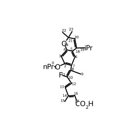 CCCOc1cc2c(cc1C(C)=C(F)C=CC(C)=CC(=O)O)C(C(C)C)=CC(C)(C)O2